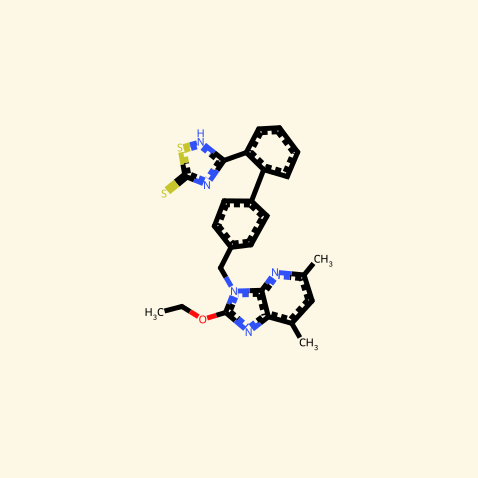 CCOc1nc2c(C)cc(C)nc2n1Cc1ccc(-c2ccccc2-c2nc(=S)s[nH]2)cc1